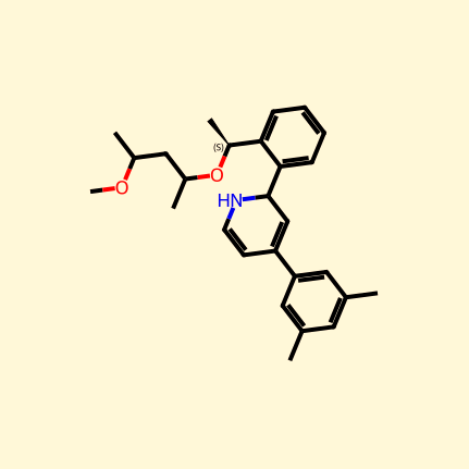 COC(C)CC(C)O[C@@H](C)c1ccccc1C1C=C(c2cc(C)cc(C)c2)C=CN1